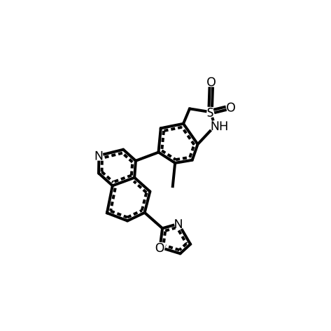 Cc1cc2c(cc1-c1cncc3ccc(-c4ncco4)cc13)CS(=O)(=O)N2